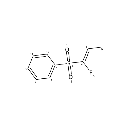 C/C=C(\F)S(=O)(=O)c1ccccc1